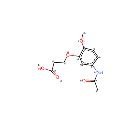 COc1ccc(NC(C)=O)cc1OCCC(=O)O